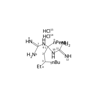 CCCCCC(CC(CC)CCCC)(NC(=N)N)NC(=N)N.Cl.Cl